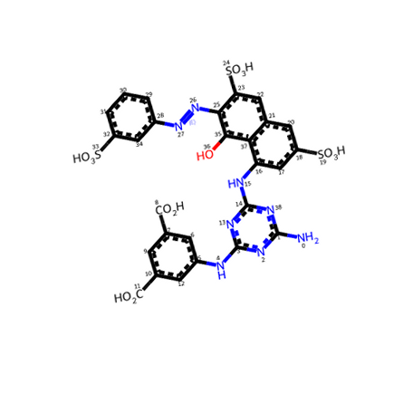 Nc1nc(Nc2cc(C(=O)O)cc(C(=O)O)c2)nc(Nc2cc(S(=O)(=O)O)cc3cc(S(=O)(=O)O)c(/N=N/c4cccc(S(=O)(=O)O)c4)c(O)c23)n1